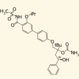 CC(C)Oc1cc(-c2ccc(OCC(C[C@@H](O)c3ccccc3)(OC(N)=O)C(C)(C)C)cc2)ccc1C(=O)NS(C)(=O)=O